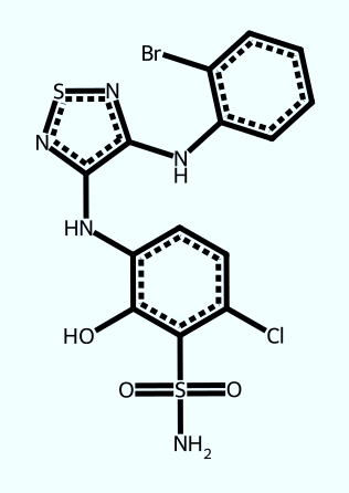 NS(=O)(=O)c1c(Cl)ccc(Nc2nsnc2Nc2ccccc2Br)c1O